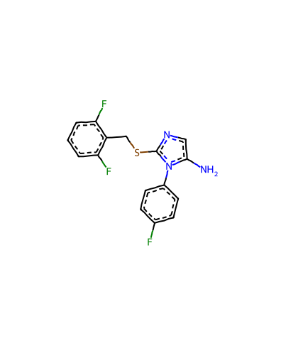 Nc1cnc(SCc2c(F)cccc2F)n1-c1ccc(F)cc1